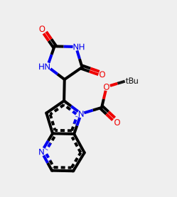 CC(C)(C)OC(=O)n1c(C2NC(=O)NC2=O)cc2ncccc21